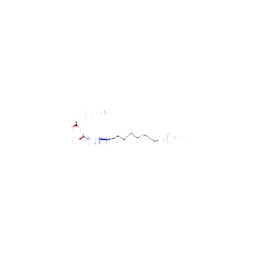 CCCCCCCCCCCCCCCCCCNC(=O)OC(=O)CCCCCCC